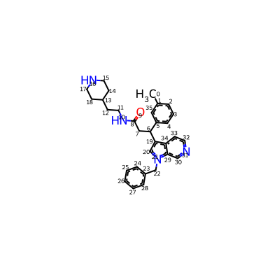 Cc1cccc(C(CC(=O)NCCC2CCNCC2)c2cn(Cc3ccccc3)c3cnccc23)c1